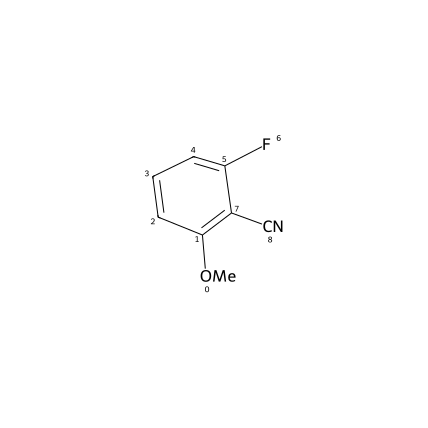 COc1cccc(F)c1C#N